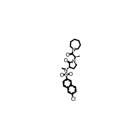 C[C@H](C(=O)N1CCCCCC1)N1CC[C@@H](N(C)S(=O)(=O)c2ccc3cc(Cl)ccc3c2)C1=O